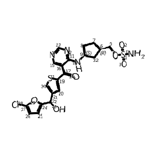 NS(=O)(=O)OC[C@@H]1CC[C@H](Nc2ncncc2C(=O)c2cc(C(O)c3ccc(Cl)o3)cs2)C1